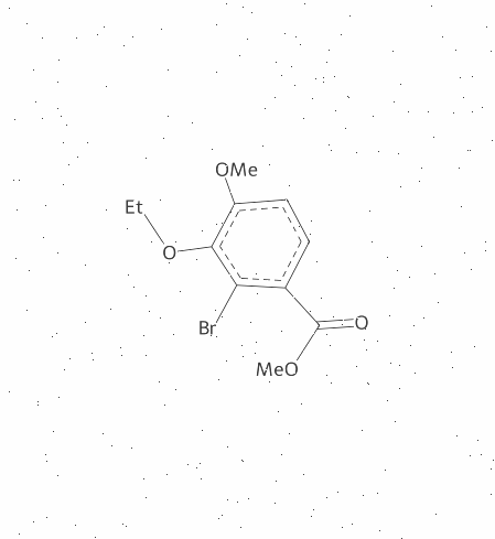 CCOc1c(OC)ccc(C(=O)OC)c1Br